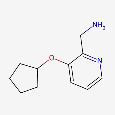 NCc1ncccc1OC1CCCC1